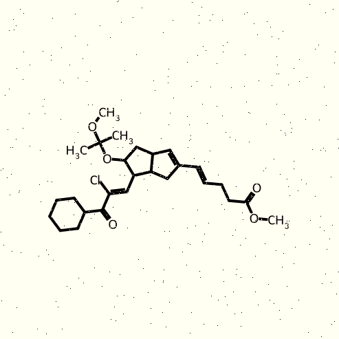 COC(=O)CCC=CC1=CC2CC(OC(C)(C)OC)C(C=C(Cl)C(=O)C3CCCCC3)C2C1